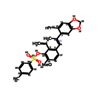 C=Cc1c(/C=C(\C)c2cc3c(cc2CCC)OCO3)ccc(OC)c1OS(=O)(=O)c1ccc(C#N)cc1